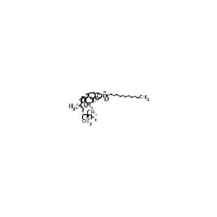 CCCCCCCCCCCC(=O)O[C@H]1CC[C@@]2(C)C(=CC[C@H]3[C@@H]4CC[C@H]([C@H](C)CC[C@@H](CC)C(C)C)[C@@]4(C)CC[C@@H]32)C1